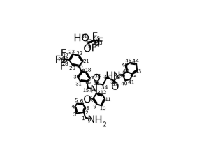 NCc1cccc(Oc2ccccc2N(Cc2ccc(-c3cccc(C(F)(F)F)c3)cc2)C(=O)CCC(=O)NC2CCc3ccccc32)c1.O=C(O)C(F)(F)F